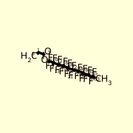 C=CC(=O)OC(F)(F)C(F)(F)C(F)(F)C(F)(F)C(F)(F)C(F)(F)C(F)(F)C(F)(F)C(F)(F)C(C)(F)F